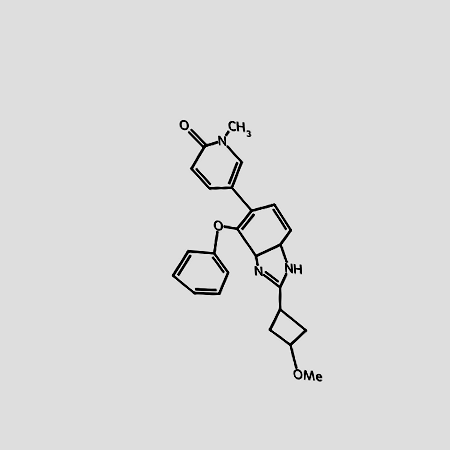 COC1CC(C2=NC3C(Oc4ccccc4)=C(c4ccc(=O)n(C)c4)C=CC3N2)C1